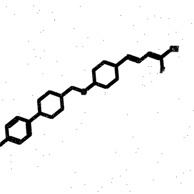 N#CC(F)=CC=CC1CCC(OCC2CCC(c3ccc(C#N)cc3)CC2)CC1